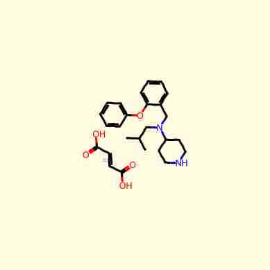 CC(C)CN(Cc1ccccc1Oc1ccccc1)C1CCNCC1.O=C(O)/C=C/C(=O)O